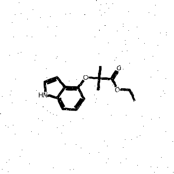 CCOC(=O)C(C)(C)Oc1cccc2[nH]ccc12